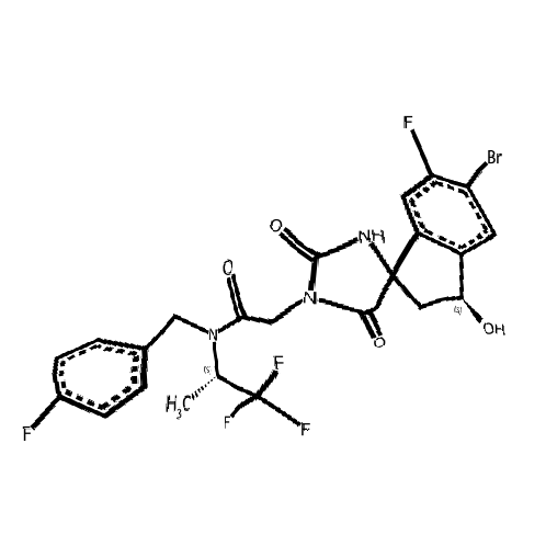 C[C@H](N(Cc1ccc(F)cc1)C(=O)CN1C(=O)NC2(C[C@H](O)c3cc(Br)c(F)cc32)C1=O)C(F)(F)F